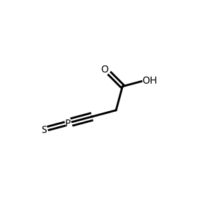 O=C(O)CC#P=S